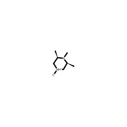 [CH2-][NH+]1C[C@@H](C)N(C)[C@@H](C)C1